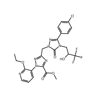 CCOc1ncccc1-n1nc(Cn2nc(-c3ccc(Cl)cc3)n(CC(O)C(F)(F)F)c2=O)nc1C(=O)OC